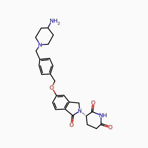 NC1CCN(Cc2ccc(COc3ccc4c(c3)CN([C@H]3CCC(=O)NC3=O)C4=O)cc2)CC1